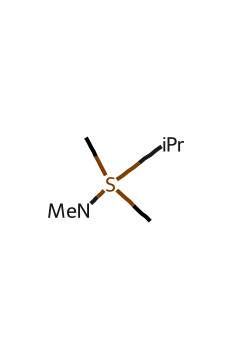 CNS(C)(C)C(C)C